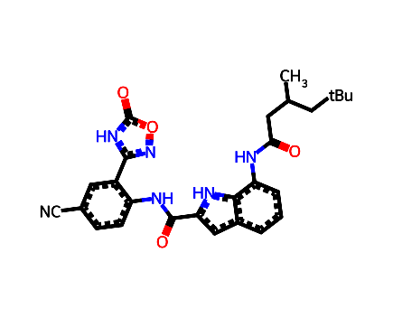 CC(CC(=O)Nc1cccc2cc(C(=O)Nc3ccc(C#N)cc3-c3noc(=O)[nH]3)[nH]c12)CC(C)(C)C